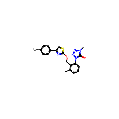 CC(=O)c1ccc(-c2csc(OCc3c(C)cccc3-n3nnn(C)c3=O)n2)cc1